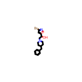 OC(CN1CCC(Cc2ccccc2)CC1)c1cc(Br)no1